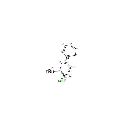 CC(C)(C)c1cc(-c2ccccc2)ccc1Br